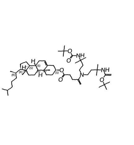 C=C(NC(C)(C)CCN(CCC(C)(C)NC(=O)OC(C)(C)C)C(=C)CCC(=O)O[C@H]1CC[C@@]2(C)C(=CC[C@H]3[C@@H]4CC[C@H]([C@H](C)CCCC(C)C)[C@@]4(C)CC[C@@H]32)C1)OC(C)(C)C